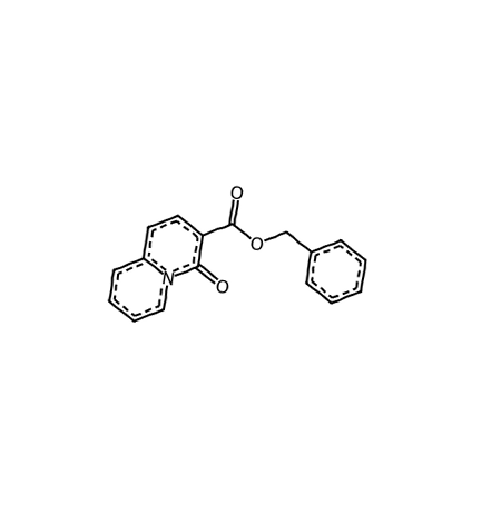 O=C(OCc1ccccc1)c1ccc2ccccn2c1=O